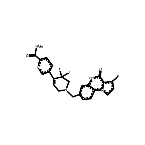 CNC(=O)c1ccc(C2=CCN(Cc3ccc4c(c3)[nH]c(=O)c3c(F)ccn34)CC2(F)F)cn1